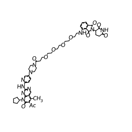 CC(=O)c1c(C)c2cnc(Nc3ccc(N4CCN(C(=O)CCOCCOCCOCCOCCNc5cccc6c5C(=O)N(C5CCC(=O)NC5=O)C6=O)CC4)cn3)nc2n(C2CCCC2)c1=O